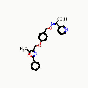 Cc1oc(-c2ccccc2)nc1COc1ccc(CON=C(C(=O)O)c2cccnc2)cc1